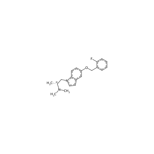 C[C@H](Cn1ccc2cc(OCc3ccccc3F)ccc21)N(C)C